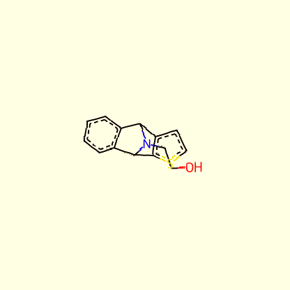 OCCN1C2c3ccccc3C1c1sccc12